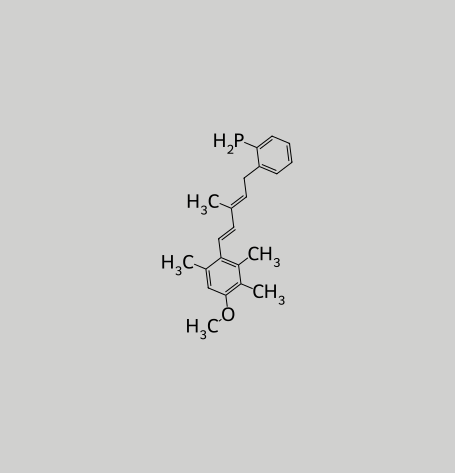 COc1cc(C)c(/C=C/C(C)=C/Cc2ccccc2P)c(C)c1C